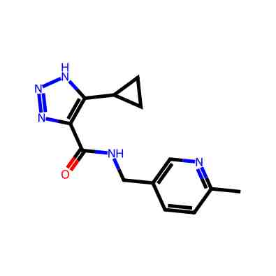 Cc1ccc(CNC(=O)c2nn[nH]c2C2CC2)cn1